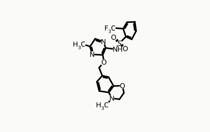 Cc1cnc(NS(=O)(=O)c2ccccc2C(F)(F)F)c(OCc2ccc3c(c2)OCCN3C)n1